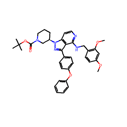 COc1ccc(CNc2nccc3c2c(-c2ccc(Oc4ccccc4)cc2)nn3[C@@H]2CCCN(C(=O)OC(C)(C)C)C2)c(OC)c1